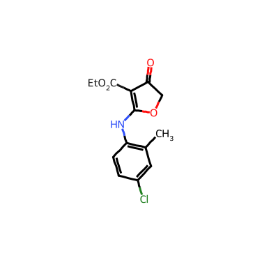 CCOC(=O)C1=C(Nc2ccc(Cl)cc2C)OCC1=O